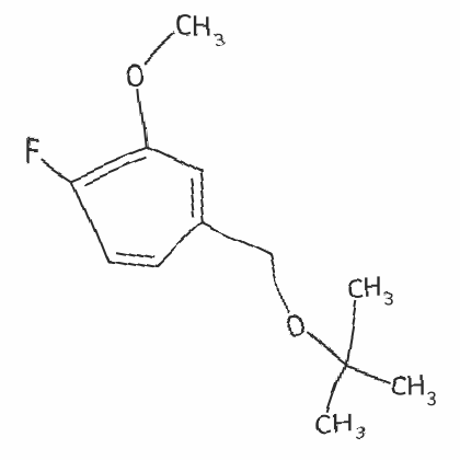 COc1cc(COC(C)(C)C)ccc1F